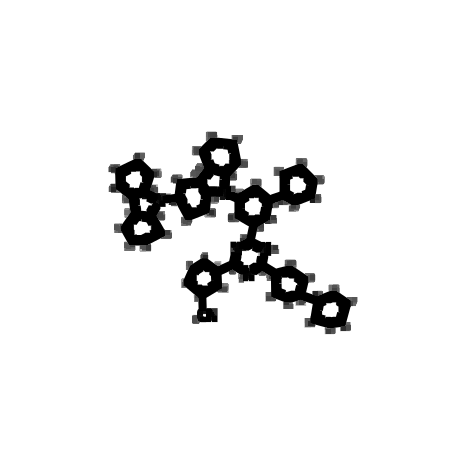 N#Cc1cccc(-c2nc(-c3ccc(-c4ccccc4)cc3)nc(-c3cc(-c4ccccc4)cc(-n4c5ccccc5c5cc(-n6c7ccccc7c7ccccc76)ccc54)c3)n2)c1